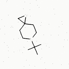 CCCCCC(C)(CCCCC)N1CCC2(CC1)CN2